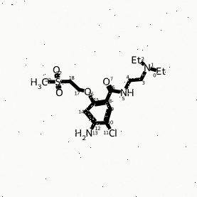 CCN(CC)CCNC(=O)c1cc(Cl)c(N)cc1OCCS(C)(=O)=O